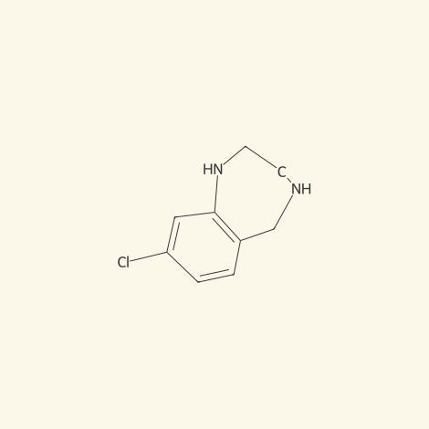 Clc1ccc2c(c1)NCCNC2